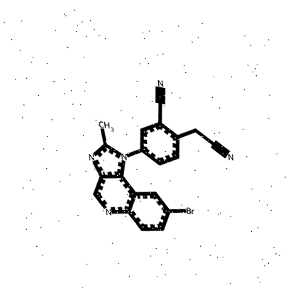 Cc1nc2cnc3ccc(Br)cc3c2n1-c1ccc(CC#N)c(C#N)c1